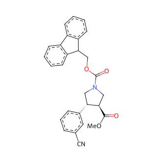 COC(=O)[C@@H]1CN(C(=O)OCC2c3ccccc3-c3ccccc32)C[C@H]1c1cccc(C#N)c1